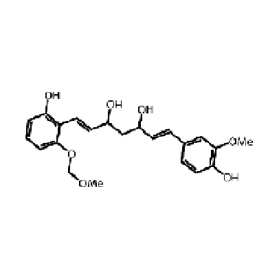 COCOc1cccc(O)c1C=CC(O)CC(O)C=Cc1ccc(O)c(OC)c1